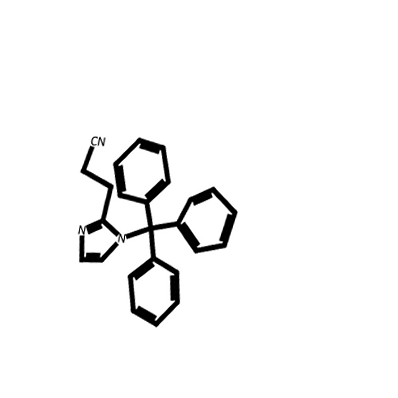 N#CCCc1nccn1C(c1ccccc1)(c1ccccc1)c1ccccc1